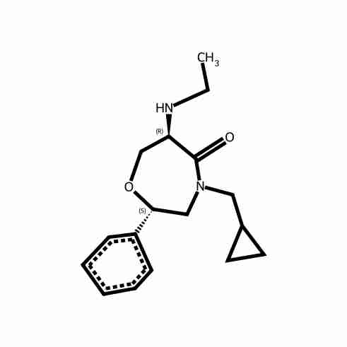 CCN[C@@H]1CO[C@@H](c2ccccc2)CN(CC2CC2)C1=O